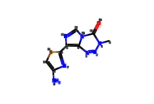 Cn1nnc2c(-c3nc(N)cs3)ncn2c1=O